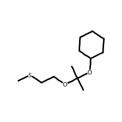 CSCCOC(C)(C)OC1CCCCC1